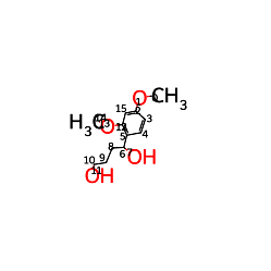 COc1ccc(C(O)CCCO)c(OC)c1